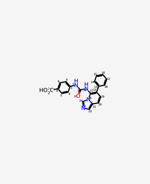 O=C(Nc1ccc(C(=O)O)cc1)Nc1c(-c2ccccc2)ccc2cncn12